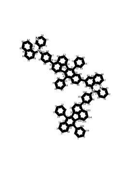 c1ccc(-c2c3c(c(-c4ccccc4)c4ccccc24)-c2ccc(-c4ccc(N(c5ccccn5)c5cc(-c6ccc7c(-c8ccccc8)c8c(c(-c9ccccc9)c7c6)-c6cccc7c(-c9ccc(N(c%10cccnc%10)c%10cccc%11ccccc%10%11)cc9)ccc-8c67)cc6ccccc56)cc4)c4cccc-3c24)cc1